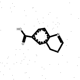 O=C(O)c1ccc2c(c1)CCC=N2